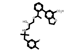 Cc1ccc(CC(C)(C)NC[C@H](O)COC(C)c2ccccc2-c2cc3c(c(C(=O)O)c2)OCC3)cc1F